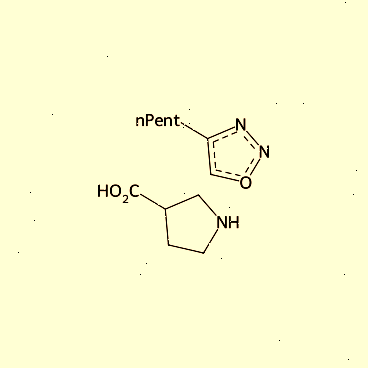 CCCCCc1conn1.O=C(O)C1CCNC1